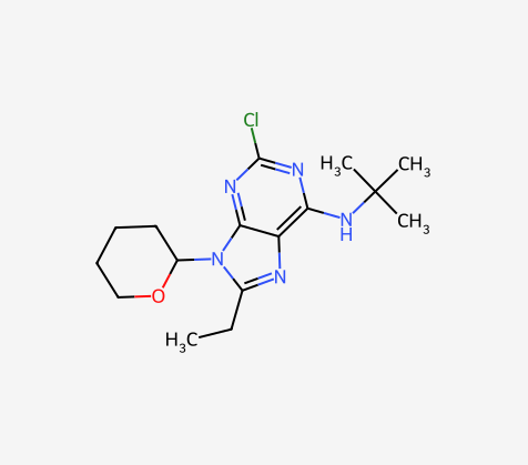 CCc1nc2c(NC(C)(C)C)nc(Cl)nc2n1C1CCCCO1